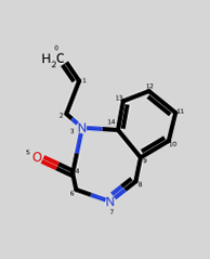 C=CCN1C(=O)CN=Cc2ccccc21